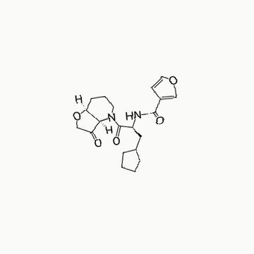 O=C(N[C@@H](CC1CCCC1)C(=O)N1CCC[C@@H]2OCC(=O)[C@@H]21)c1ccoc1